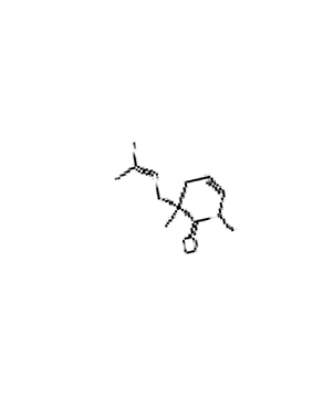 CC(C)=CCC1(C)CC=CC(C)C1=O